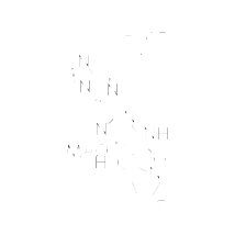 COc1nc(-c2cn3ccnc3c(CCC(F)(F)C(F)(F)F)n2)nc2c1C(C)(c1ccc(F)cn1)C(=O)N2